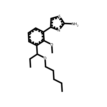 CCCCCOC(CC)c1cccc(-c2csc(N)n2)c1OC